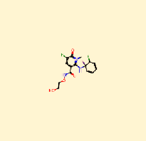 Cn1c(NC2(I)C=CC=CC2F)c(C(=O)NOCCO)cc(F)c1=O